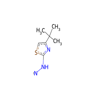 CC(C)(C)c1csc(N[N])n1